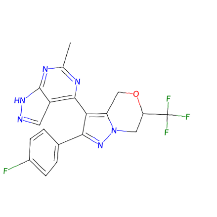 Cc1nc(-c2c(-c3ccc(F)cc3)nn3c2COC(C(F)(F)F)C3)c2cn[nH]c2n1